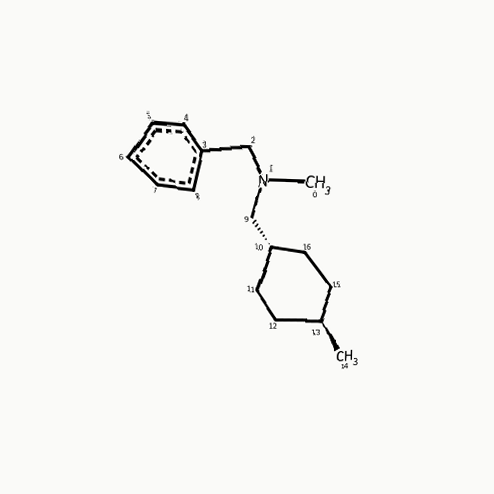 CN(Cc1ccccc1)C[C@H]1CC[C@H](C)CC1